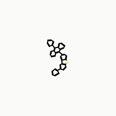 c1ccc(-c2ccc3sc4ccc(-c5c6ccccc6c(-c6ccccc6)c6ccccc56)cc4c3c2)cc1